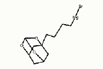 [Br][Mg][CH2]CCCC12CC3CC(C1)OC(O3)O2